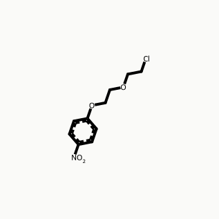 O=[N+]([O-])c1ccc(OCCOCCCl)cc1